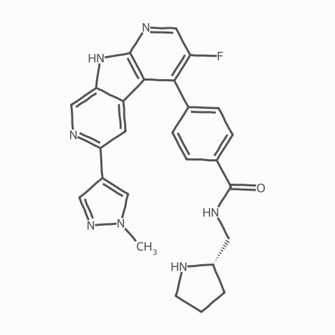 Cn1cc(-c2cc3c(cn2)[nH]c2ncc(F)c(-c4ccc(C(=O)NC[C@@H]5CCCN5)cc4)c23)cn1